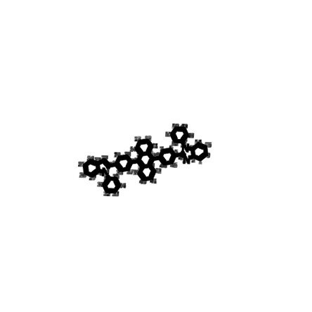 C1=CC2N=C(c3ccc(-c4c5ccccc5c(-c5ccc(-c6cc7ccccc7n6-c6ccccc6)cc5)c5ccccc45)cc3)N(c3ccccc3)C2C=C1